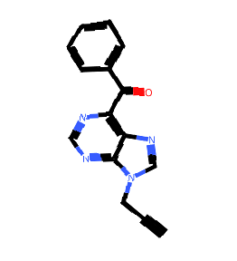 C#CCn1cnc2c(C(=O)c3ccccc3)ncnc21